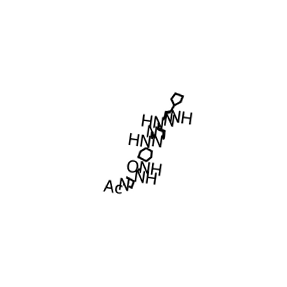 CC(=O)N1CC(NC(=O)NC2CCC(Nc3nccc(Nc4cc(C5CCCC5)[nH]n4)n3)CC2)C1